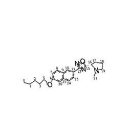 CCCCCOc1ccc2cc(-c3noc([C@@H]4CCCN4C)n3)ccc2c1